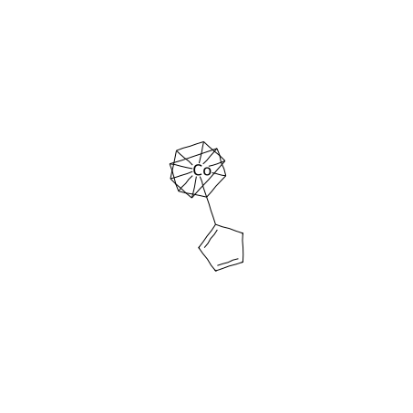 C1=CCC([C]23[CH]4[CH]5[CH]6[CH]2[Co]56432789[CH]3[CH]2[CH]7[CH]8[CH]39)=C1